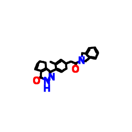 CC1=CC(CC(=O)N2Cc3ccccc3C2)CC=C1c1n[nH]c(=O)c2c1CCC=C2